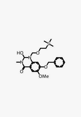 COc1cc2c(cc1OCc1ccccc1)N(COCC[Si](C)(C)C)C(O)N(C)C2=O